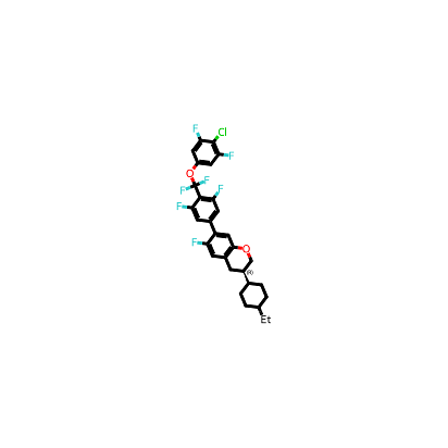 CCC1CCC([C@@H]2COc3cc(-c4cc(F)c(C(F)(F)Oc5cc(F)c(Cl)c(F)c5)c(F)c4)c(F)cc3C2)CC1